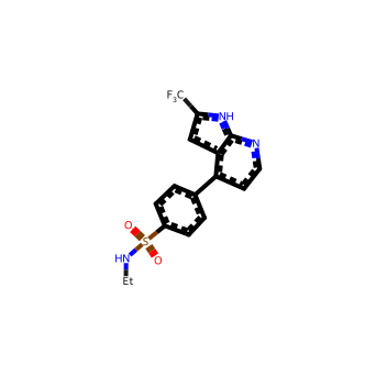 CCNS(=O)(=O)c1ccc(-c2ccnc3[nH]c(C(F)(F)F)cc23)cc1